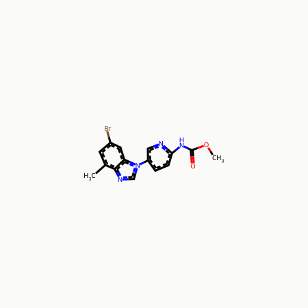 COC(=O)Nc1ccc(-n2cnc3c(C)cc(Br)cc32)cn1